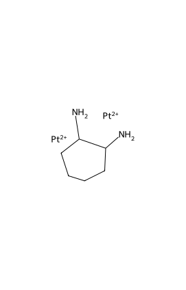 NC1CCCCC1N.[Pt+2].[Pt+2]